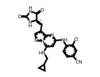 N#Cc1ccc(Nc2cc(NCC3CC3)n3ncc(/C=C4\NC(=O)NC4=O)c3n2)c(Cl)c1